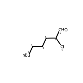 CCCCCCCC(Cl)C=O